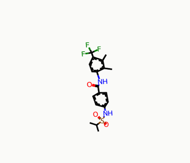 Cc1c(NC(=O)c2ccc(NS(=O)(=O)C(C)C)cc2)ccc(C(F)(F)F)c1C